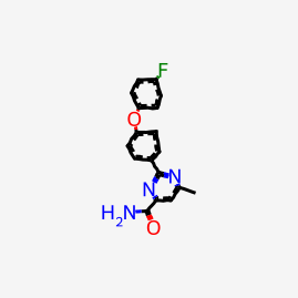 Cc1cc(C(N)=O)nc(-c2ccc(Oc3ccc(F)cc3)cc2)n1